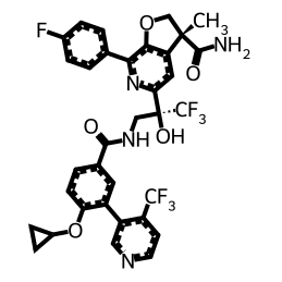 C[C@]1(C(N)=O)COc2c1cc([C@@](O)(CNC(=O)c1ccc(OC3CC3)c(-c3cnccc3C(F)(F)F)c1)C(F)(F)F)nc2-c1ccc(F)cc1